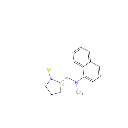 CN(C[C@@H]1CCCN1S)c1cccc2ccccc12